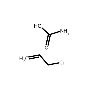 C=C[CH2][Cu].NC(=O)O